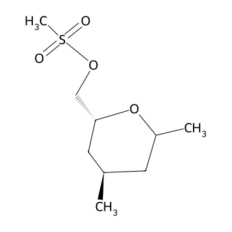 CC1C[C@@H](C)C[C@H](COS(C)(=O)=O)O1